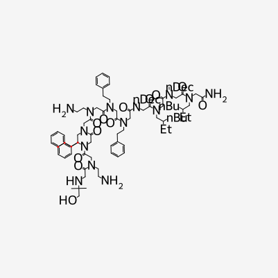 CCCCCCCCCCN(CC(=O)N(CC(=O)N(CCCCCCCCCC)CC(=O)N(CC(N)=O)CC(CC)CCCC)CC(CC)CCCC)C(=O)CN(CCc1ccccc1)C(=O)CN(CCc1ccccc1)C(=O)CN(CCN)C(=O)CN(CCc1ccccc1)C(=O)CN(CCc1ccccc1)C(=O)CN(CCN)C(=O)CNC(C)(C)CO